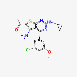 COc1cc(Cl)cc(-c2nc(NC3CC3)nc3sc(C(C)=O)c(N)c23)c1